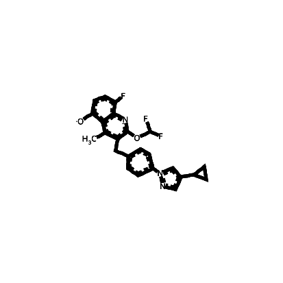 Cc1c(Cc2ccc(-n3cc(C4CC4)cn3)cc2)c(OC(F)F)nc2c(F)ccc([O])c12